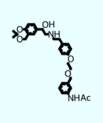 CC(=O)Nc1cccc(COCCOc2ccc(CCNC[C@H](O)c3ccc4c(c3)COC(C)(C)O4)cc2)c1